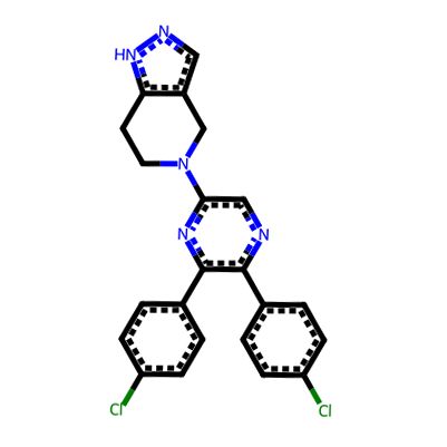 Clc1ccc(-c2ncc(N3CCc4[nH]ncc4C3)nc2-c2ccc(Cl)cc2)cc1